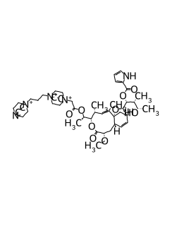 CO[C@H]1C[C@H]2C=C[C@@H]3C[C@]2(O[C@H]3[C@H](OC(=O)c2ccc[nH]2)[C@H](C)[C@H](C)O)/C(C)=C/[C@@H](C)[C@@H]([C@@H](C)OC(=O)C[N+]23CC[N+](CCC[N+]45CCN(CC4)CC5)(CC2)CC3)OC1=O